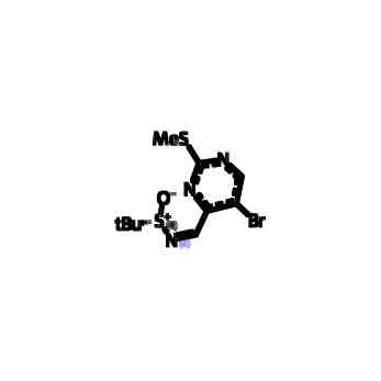 CSc1ncc(Br)c(/C=N\[S@@+]([O-])C(C)(C)C)n1